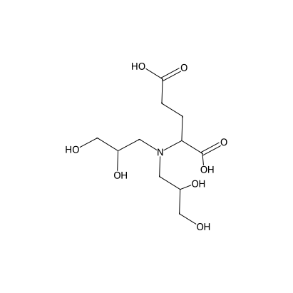 O=C(O)CCC(C(=O)O)N(CC(O)CO)CC(O)CO